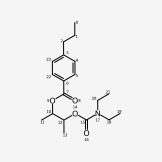 CCCc1ccc(C(=O)OC(C)C(C)OC(=O)N(CC)CC)cc1